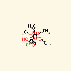 CCCCOC[C@H]1O[C@@H](c2cc(CO)c(Cl)c3c2CCO3)[C@H](OCCCC)[C@@H](OCCCC)[C@@H]1OCCCC